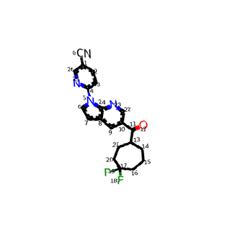 N#Cc1ccc(-n2ccc3cc(C(=O)C4CCCC(F)(F)CC4)cnc32)nc1